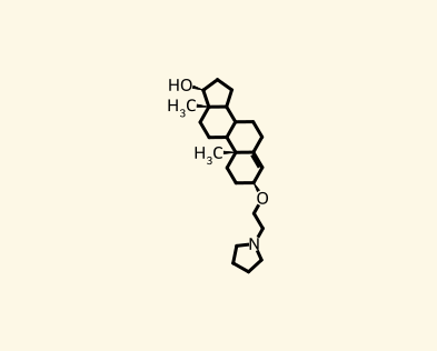 C[C@]12CC[C@H](OCCN3CCCC3)C=C1CCC1C2CC[C@@]2(C)C1CC[C@@H]2O